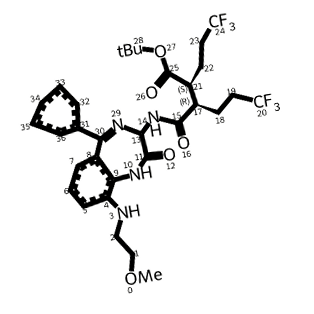 COCCNc1cccc2c1NC(=O)C(NC(=O)[C@H](CCC(F)(F)F)[C@H](CCC(F)(F)F)C(=O)OC(C)(C)C)N=C2c1ccccc1